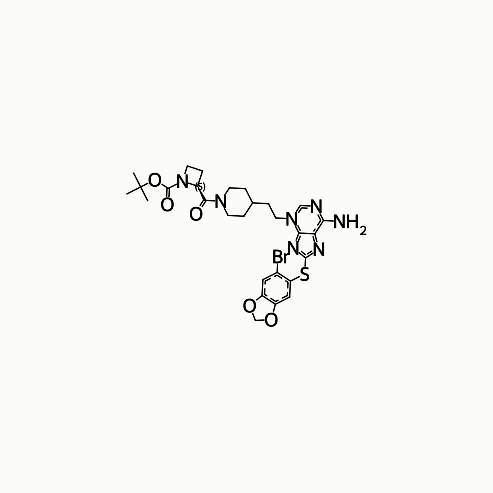 CC(C)(C)OC(=O)N1CC[C@H]1C(=O)N1CCC(CCn2cnc(N)c3nc(Sc4cc5c(cc4Br)OCO5)nc2-3)CC1